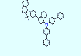 CC1(C)c2cc(-c3ccc(N(c4ccc(-c5ccccc5)cc4)c4ccc(-c5ccccc5)cc4)c4ccccc34)ccc2-c2c1ccc1c2C=CCC1